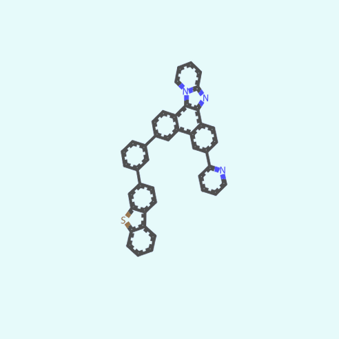 c1ccc(-c2ccc3c(c2)c2cc(-c4cccc(-c5ccc6c(c5)sc5ccccc56)c4)ccc2c2c3nc3ccccn32)nc1